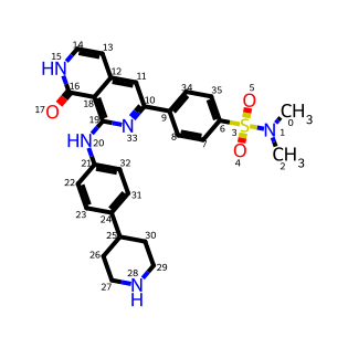 CN(C)S(=O)(=O)c1ccc(-c2cc3cc[nH]c(=O)c3c(Nc3ccc(C4CCNCC4)cc3)n2)cc1